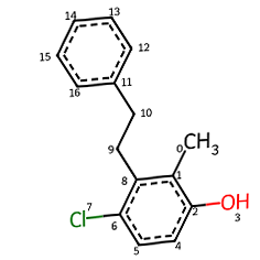 Cc1c(O)ccc(Cl)c1CCc1ccccc1